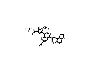 COC(=O)c1cc(-c2cnc(NCc3c(F)ccc4c3CCO4)n3cc(C#N)nc23)n(C)n1